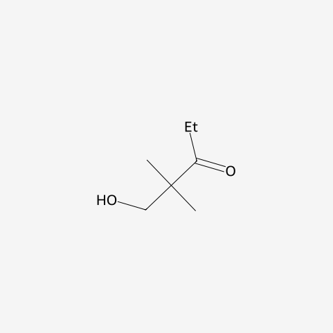 CCC(=O)C(C)(C)CO